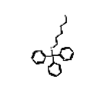 CCCCCCSC(c1ccccc1)(c1ccccc1)c1ccccc1